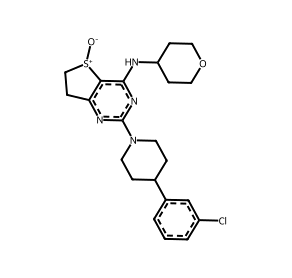 [O-][S+]1CCc2nc(N3CCC(c4cccc(Cl)c4)CC3)nc(NC3CCOCC3)c21